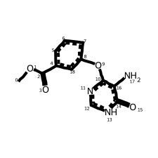 COC(=O)c1cccc(Oc2nc[nH]c(=O)c2N)c1